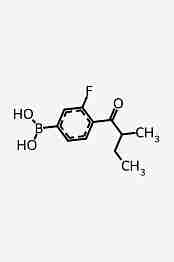 CCC(C)C(=O)c1ccc(B(O)O)cc1F